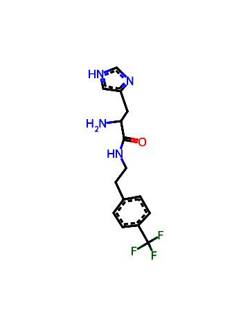 NC(Cc1c[nH]cn1)C(=O)NCCc1ccc(C(F)(F)F)cc1